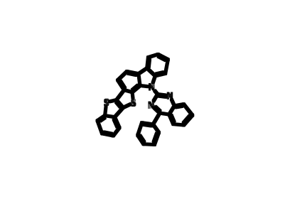 c1ccc(-c2nc(-n3c4ccccc4c4ccc5c6sc7ccccc7c6sc5c43)nc3ccccc23)cc1